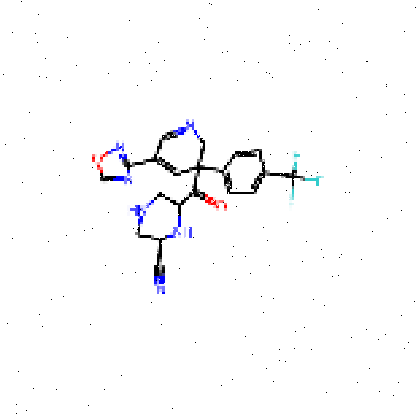 N#CC1CNCC(C(=O)C2(c3ccc(C(F)(F)F)cc3)C=C(c3ncon3)C=NC2)N1